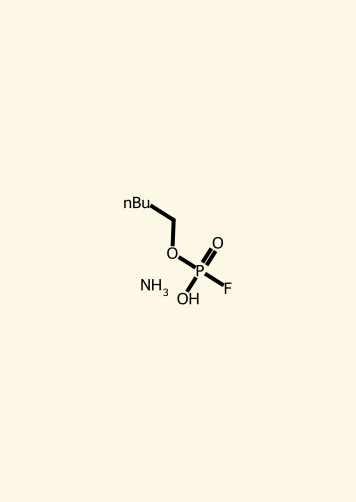 CCCCCOP(=O)(O)F.N